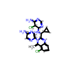 C=C1c2c(Cl)cccc2N=C([C@@H](NC2N=CN=C(N)C2Cl)C2CC2)N1c1cnc(N)cn1